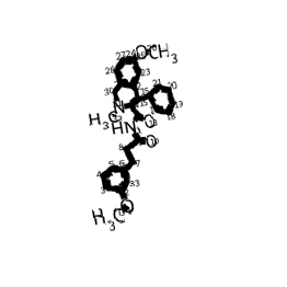 COc1cccc(CCC(=O)NC(=O)C2=C(c3ccccc3)c3cc(OC)ccc3CN2C)c1